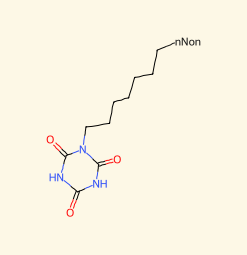 CCCCCCCCCCCCCCCCn1c(=O)[nH]c(=O)[nH]c1=O